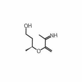 C=C(O[C@@H](C)CCO)C(C)=N